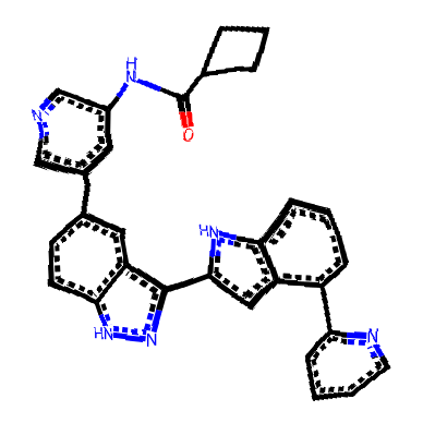 O=C(Nc1cncc(-c2ccc3[nH]nc(-c4cc5c(-c6ccccn6)cccc5[nH]4)c3c2)c1)C1CCC1